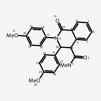 CNC(=O)C1c2ccccc2C(=O)N(c2ccc(OC)cc2)C1c1ccc(OC)cc1